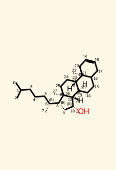 CC(C)CCC[C@@H](C)[C@H]1C[C@@H](O)[C@H]2[C@@H]3CCC4CC=CC[C@]4(C)[C@H]3CC[C@@]21C